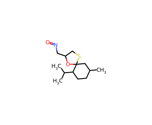 CC1CCC(C(C)C)C2(C1)OC(CN=O)CS2